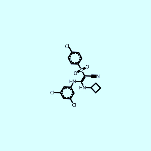 N#CC(=C(Nc1cc(Cl)cc(Cl)c1)NC1CCC1)S(=O)(=O)c1ccc(Cl)cc1